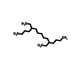 CCCCC(CC)CCCCCC(CC)CCCC